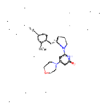 COc1cc(C)ccc1C[C@@H]1CCCN1c1cc(N2CCOCC2)cc(=O)[nH]1